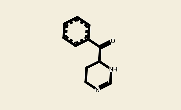 O=C(c1ccccc1)C1CCN=CN1